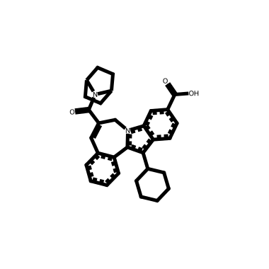 O=C(O)c1ccc2c(C3CCCCC3)c3n(c2c1)CC(C(=O)N1C2CCC1CC2)=Cc1ccccc1-3